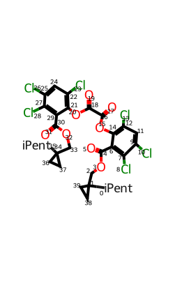 CCCC(C)C1(COC(=O)c2c(Cl)c(Cl)cc(Cl)c2OC(=O)C(=O)Oc2c(Cl)cc(Cl)c(Cl)c2C(=O)OCC2(C(C)CCC)CC2)CC1